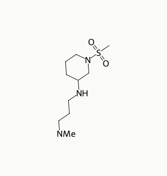 CNCCCNC1CCCN(S(C)(=O)=O)C1